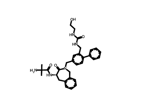 CC(C)(N)C(=O)N[C@@H]1Cc2ccccc2CN(Cc2ccc(-c3ccccc3)c(CNC(=O)NCCO)c2)C1=O